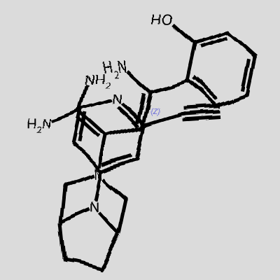 C#Cc1cc(N2C3CCC2CN(C(/C=C(\N)c2ccccc2O)=C(N)N)C3)ccn1